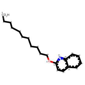 O=C(O)CCCCCCCCCCOc1ccc2ccccc2n1